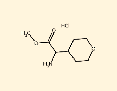 COC(=O)C(N)C1CCOCC1.Cl